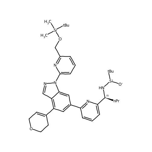 CCC[C@H](N[S+]([O-])C(C)(C)C)c1cccc(-c2cc(C3=CCOCC3)c3cnn(-c4cccc(CO[Si](C)(C)C(C)(C)C)n4)c3c2)n1